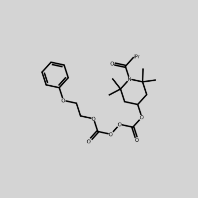 CC(C)C(=O)N1C(C)(C)CC(OC(=O)OOC(=O)OCCOc2ccccc2)CC1(C)C